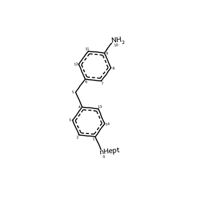 CCCCCCCc1ccc(Cc2ccc(N)cc2)cc1